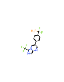 FC(F)(F)c1ncc2ncc(-c3ccc(C(F)(F)P)cc3)cn12